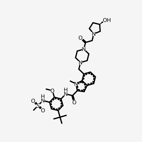 COc1c(NC(=O)c2cc3cccc(CN4CCN(C(=O)CN5CC[C@@H](O)C5)CC4)c3n2C)cc(C(C)(C)C)cc1NS(C)(=O)=O